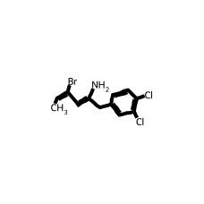 C/C=C(Br)\C=C(/N)Cc1ccc(Cl)c(Cl)c1